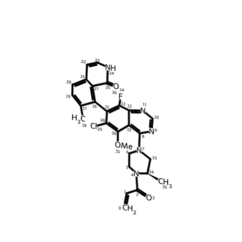 C=CC(=O)N1CCN(c2ncnc3c(F)c(-c4c(C)ccc5cc[nH]c(=O)c45)c(Cl)c(OC)c23)C[C@H]1C